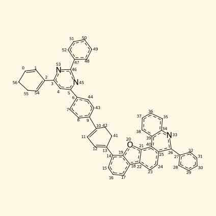 C1=CC(c2cc(-c3ccc(C4=CC=C(c5cccc6c5oc5c6ccc6c(-c7ccccc7)nc7ccccc7c65)CC4)cc3)nc(-c3ccccc3)n2)=CCC1